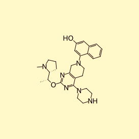 C[C@@H](Oc1nc2c(c(N3CCNCC3)n1)CCN(c1cc(O)cc3ccccc13)C2)[C@H]1CCCN1C